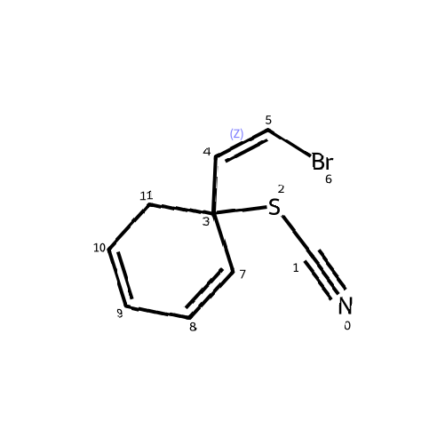 N#CSC1(/C=C\Br)C=CC=CC1